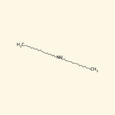 CCCCCCCCCCCCCCCCCCCCNCCCCCCCCCCCCCCCCCCCC